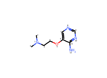 CN(C)CCOc1cncnc1N